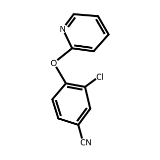 N#Cc1ccc(Oc2ccccn2)c(Cl)c1